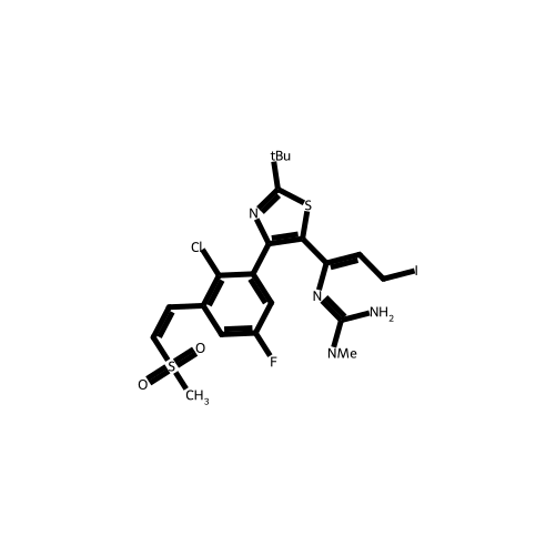 CN/C(N)=N/C(=C\CI)c1sc(C(C)(C)C)nc1-c1cc(F)cc(/C=C\S(C)(=O)=O)c1Cl